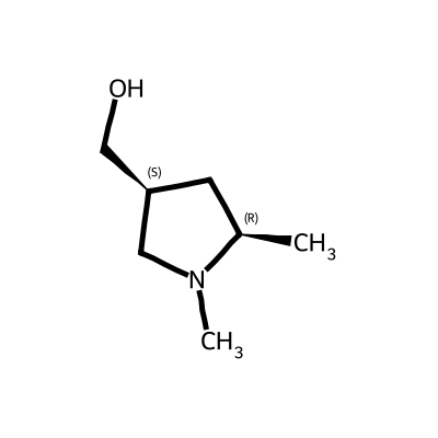 C[C@@H]1C[C@H](CO)CN1C